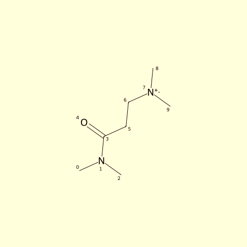 CN(C)C(=O)CC[N+](C)C